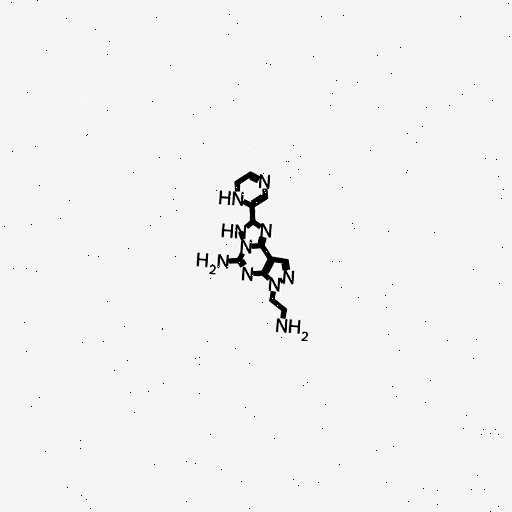 NCCn1ncc2c1N=C(N)N1NC(C3=CN=CCN3)N=C21